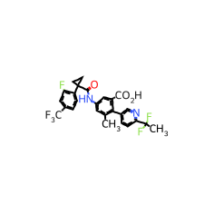 Cc1cc(NC(=O)C2(c3ccc(C(F)(F)F)cc3F)CC2)cc(C(=O)O)c1-c1ccc(C(C)(F)F)nc1